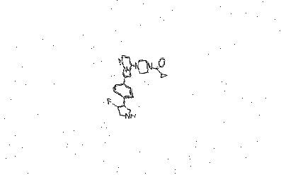 O=C(C1CC1)N1CCN(c2ccnn3cc(-c4ccc(C5CNCC5F)cc4)cc23)CC1